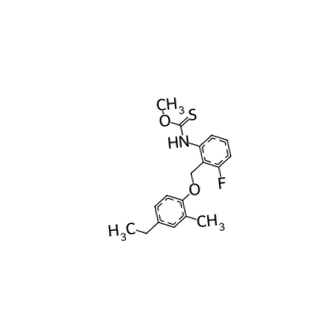 CCc1ccc(OCc2c(F)cccc2NC(=S)OC)c(C)c1